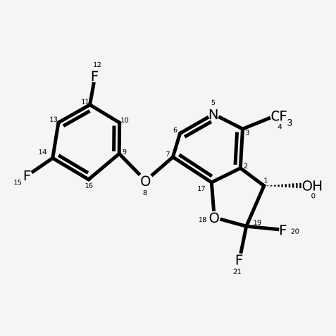 O[C@H]1c2c(C(F)(F)F)ncc(Oc3cc(F)cc(F)c3)c2OC1(F)F